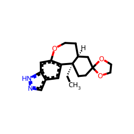 CC[C@@]12CCC3(C[C@@H]1CCOc1cc4[nH]ncc4cc12)OCCO3